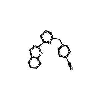 N#Cc1ccc(Cc2cccc(-c3ncc4ccccc4n3)n2)cc1